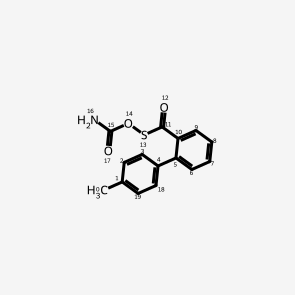 Cc1ccc(-c2ccccc2C(=O)SOC(N)=O)cc1